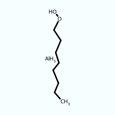 CCCCCCCCOO.[AlH3]